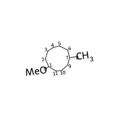 COC1CCCCCC(C)CCC1